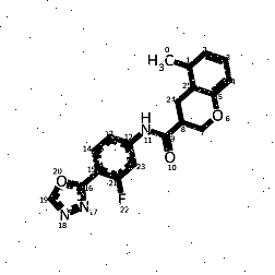 CC1C=CC=C2OCC(C(=O)Nc3ccc(-c4nnco4)c(F)c3)CC21